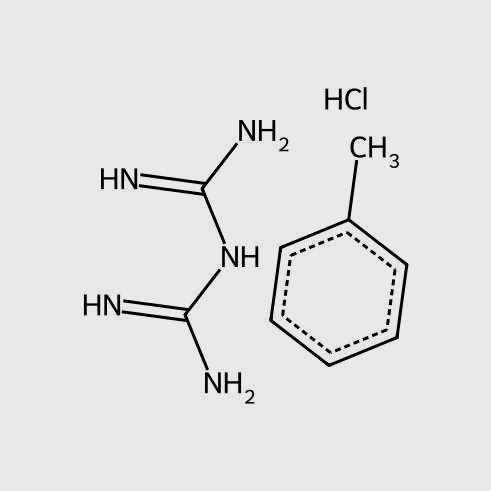 Cc1ccccc1.Cl.N=C(N)NC(=N)N